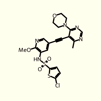 COc1ncc(C#Cc2c(C)ncnc2N2CCOCC2)cc1NS(=O)(=O)c1ccc(Cl)s1